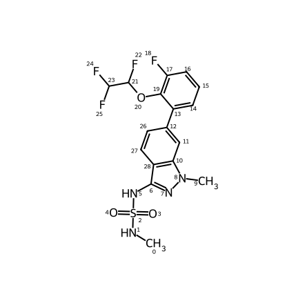 CNS(=O)(=O)Nc1nn(C)c2cc(-c3cccc(F)c3OC(F)C(F)F)ccc12